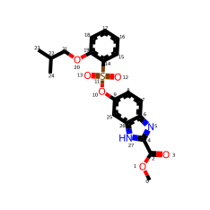 COC(=O)c1nc2ccc(OS(=O)(=O)c3ccccc3OCC(C)C)cc2[nH]1